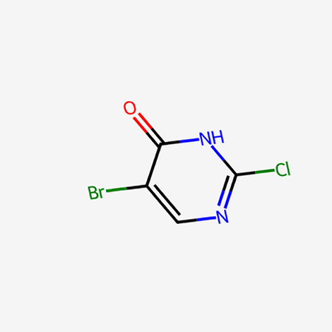 O=c1[nH]c(Cl)ncc1Br